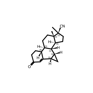 C[C@]1(C#N)CC[C@H]2[C@@H]3[C@@H]4C[C@@H]4C4=CC(=O)CC[C@@H]4[C@H]3CC[C@@]21C